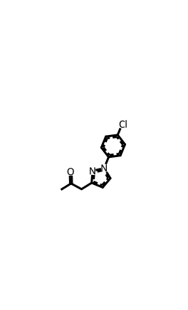 CC(=O)Cc1ccn(-c2ccc(Cl)cc2)n1